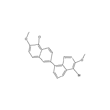 COc1ccc2cc(-c3[c]ccc4c(Br)c(OC)ccc34)ccc2c1Cl